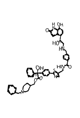 O=C(NCc1cnc(-c2ccc([C@](O)(C(=O)OCC3CCN(Cc4ccccc4)CC3)c3ccccc3)cc2)s1)c1ccc(CNC[C@H](O)c2ccc(O)c3[nH]c(=O)ccc23)cc1